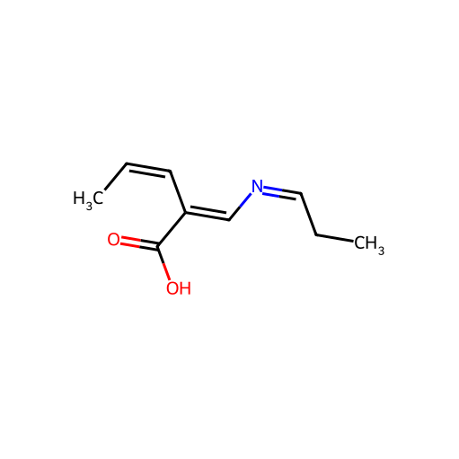 C\C=C/C(=C\N=C/CC)C(=O)O